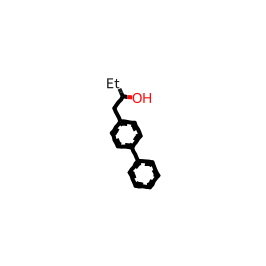 CCC(O)Cc1ccc(-c2ccccc2)cc1